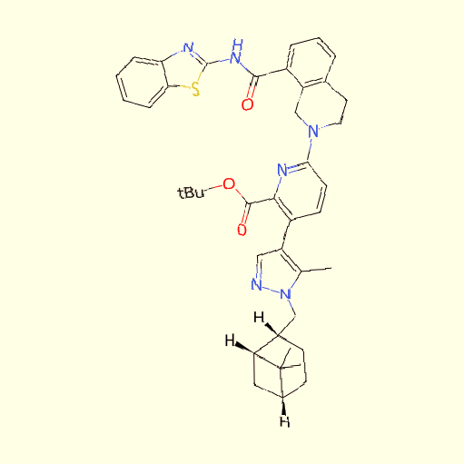 Cc1c(-c2ccc(N3CCc4cccc(C(=O)Nc5nc6ccccc6s5)c4C3)nc2C(=O)OC(C)(C)C)cnn1C[C@@H]1CC[C@@H]2C[C@H]1C2(C)C